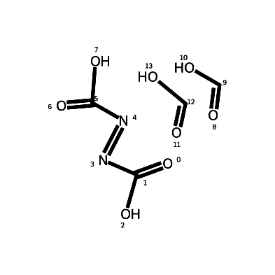 O=C(O)N=NC(=O)O.O=CO.O=CO